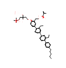 C=C(C)C(=O)OCCc1cc(-c2ccc(-c3ccc(-c4ccc(CCCCC)cc4)c(CC)c3)cc2CC)ccc1OCCC(CO)(CO)CCC(C)(C)C